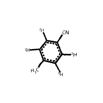 [2H]c1c([2H])c(C#N)c([2H])c([2H])c1C